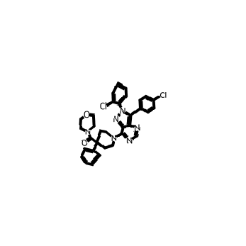 O=C(N1CCOCC1)C1(c2ccccc2)CCN(c2ncnc3c(-c4ccc(Cl)cc4)n(-c4ccccc4Cl)nc23)CC1